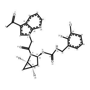 CC(=O)c1cn(CC(=O)N2[C@@H](OC(=O)NCc3cccc(Cl)c3F)C[C@H]3C[C@H]32)c2ncccc12